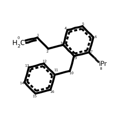 C=CCc1cccc(C(C)C)c1Cc1ccccc1